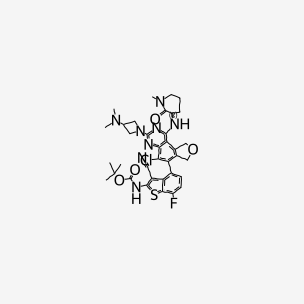 CN1CCC[C@@H](Nc2nc(N3CC(N(C)C)C3)nc3c(Cl)c(-c4ccc(F)c5sc(NC(=O)OC(C)(C)C)c(C#N)c45)c4c(c23)COC4)C1=O